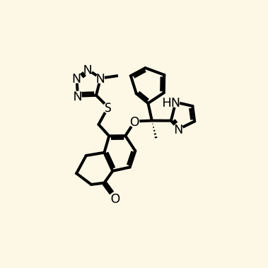 Cn1nnnc1SCc1c(O[C@@](C)(c2ccccc2)c2ncc[nH]2)ccc2c1CCCC2=O